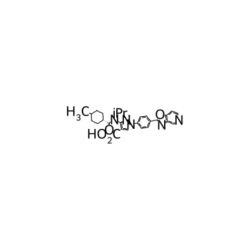 CC(C)N(c1nn(-c2ccc(-c3nc4cnccc4o3)cc2)cc1C(=O)O)C(=O)[C@H]1CC[C@H](C)CC1